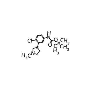 CN1CC[C@H](c2cc(NC(=O)OC(C)(C)C)ccc2Cl)C1